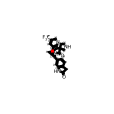 O=C1Cc2ccc(CN(Cc3cncc(C(F)(F)F)c3)C(=O)C3(CC4CC4)CCNC3)cc2N1